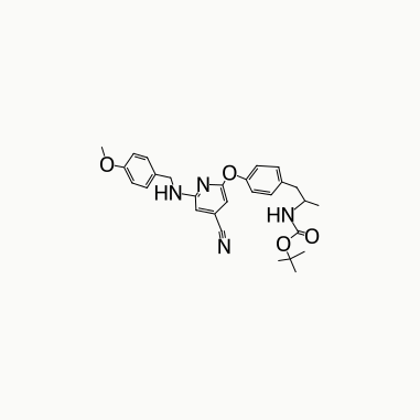 COc1ccc(CNc2cc(C#N)cc(Oc3ccc(CC(C)NC(=O)OC(C)(C)C)cc3)n2)cc1